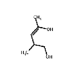 CC(O)=CC(C)CO